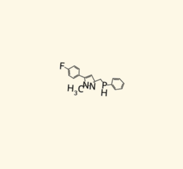 Cn1nc(CPc2ccccc2)cc1-c1ccc(F)cc1